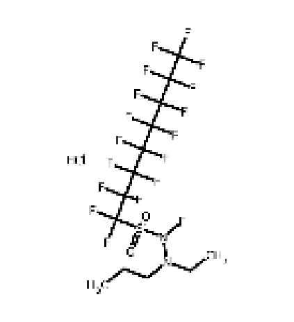 CCCN(CC)N(F)S(=O)(=O)C(F)(F)C(F)(F)C(F)(F)C(F)(F)C(F)(F)C(F)(F)C(F)(F)C(F)(F)F.Cl